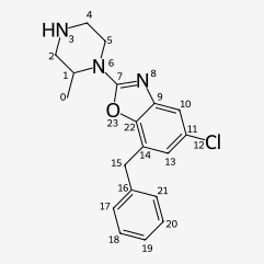 CC1CNCCN1c1nc2cc(Cl)cc(Cc3ccccc3)c2o1